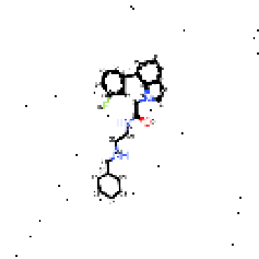 O=C(Cn1ccc2cccc(-c3cccc(F)c3)c21)NCCNCC1CCCCC1